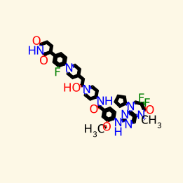 COc1cc(C(=O)NC2CCN(C(O)CC3CCN(c4ccc(C5CCC(=O)NC5=O)cc4F)CC3)CC2)ccc1Nc1ncc2c(n1)N(C1CCCC1)CC(F)(F)C(=O)N2C